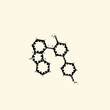 Nc1ccc(-c2ccc(N)c(-c3cccc4oc5ccccc5c34)c2)cc1